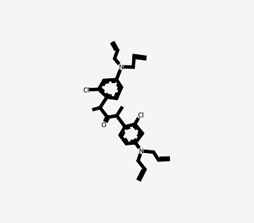 C=CCN(CC=C)c1ccc(C(C)C(=O)C(C)c2ccc(N(CC=C)CC=C)cc2Cl)c(Cl)c1